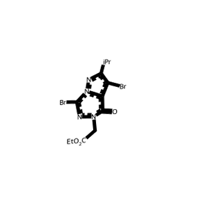 CCOC(=O)Cn1nc(Br)n2nc(C(C)C)c(Br)c2c1=O